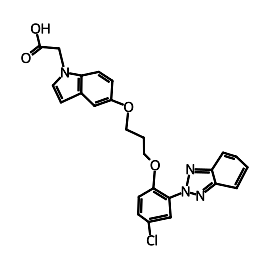 O=C(O)Cn1ccc2cc(OCCCOc3ccc(Cl)cc3-n3nc4ccccc4n3)ccc21